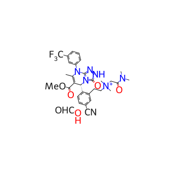 COC(=O)C1=C(C)N(c2cccc(C(F)(F)F)c2)c2n[nH]c(=O)n2[C@@H]1c1ccc(C#N)cc1CC[N+](C)(C)CC(=O)N(C)C.O=CO